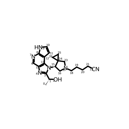 C[C@@H](O)c1nc2cnc3[nH]ccc3c2n1[C@@H]1CN(CCCCC#N)CC12CC2